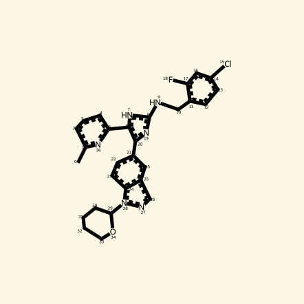 Cc1cccc(-c2[nH]c(NCc3ccc(Cl)cc3F)nc2-c2ccc3c(cnn3C3CCCCO3)c2)n1